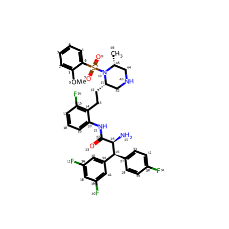 COc1ccccc1S(=O)(=O)N1[C@@H](CCc2c(F)cccc2NC(=O)[C@@H](N)[C@@H](c2ccc(F)cc2)c2cc(F)cc(F)c2)CNC[C@H]1C